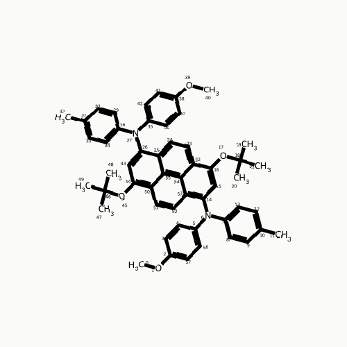 COc1ccc(N(c2ccc(C)cc2)c2cc(OC(C)(C)C)c3ccc4c(N(c5ccc(C)cc5)c5ccc(OC)cc5)cc(OC(C)(C)C)c5ccc2c3c54)cc1